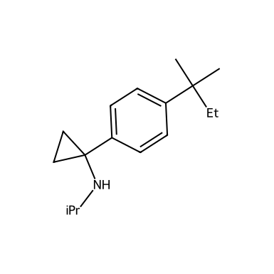 CCC(C)(C)c1ccc(C2(NC(C)C)CC2)cc1